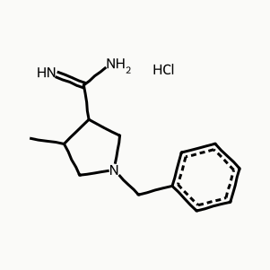 CC1CN(Cc2ccccc2)CC1C(=N)N.Cl